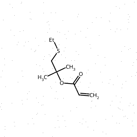 C=CC(=O)OC(C)(C)CSCC